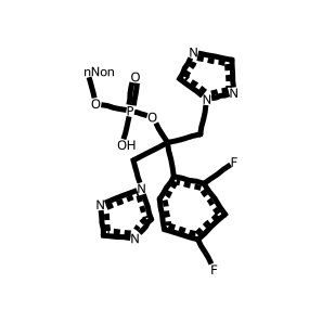 CCCCCCCCCOP(=O)(O)OC(Cn1cncn1)(Cn1cncn1)c1ccc(F)cc1F